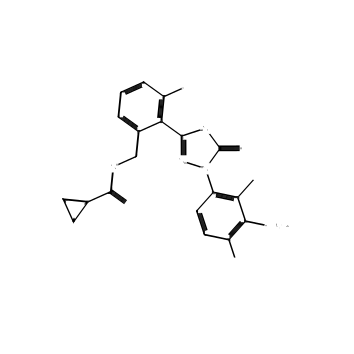 COc1c(C(=O)O)ccc(-n2nc(-c3c(Cl)cccc3CNC(=O)C3CC3)[nH]c2=O)c1C